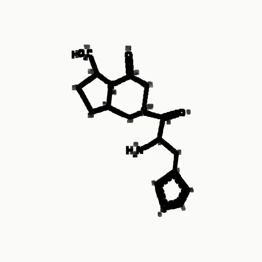 NC(Cc1ccsc1)C(=O)N1CC(=O)N2C(CCC2C(=O)O)C1